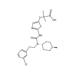 CC(C)(Sc1cnc(NC(=O)N(CCc2cccc(Cl)c2)[C@H]2CC[C@H](C)CC2)s1)C(=O)O